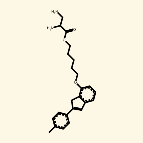 Cc1ccc(C2=Cc3cccc(OCCCCCOC(=O)C(N)CN)c3C2)cc1